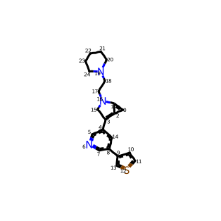 C1=C2C1=C(c1cncc(-c3ccsc3)c1)CN2CCN1CCCCC1